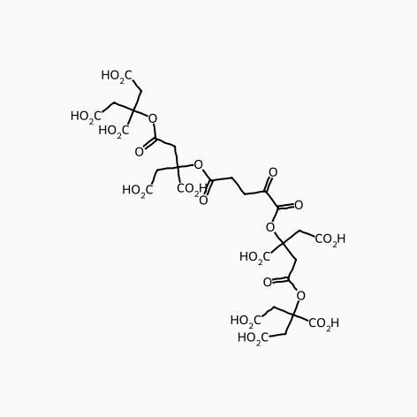 O=C(O)CC(CC(=O)O)(OC(=O)CC(CC(=O)O)(OC(=O)CCC(=O)C(=O)OC(CC(=O)O)(CC(=O)OC(CC(=O)O)(CC(=O)O)C(=O)O)C(=O)O)C(=O)O)C(=O)O